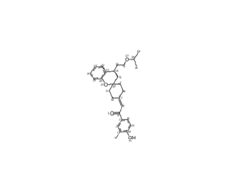 Cc1cc(C(=O)C=C2CCC3(CC2)CC(CCOC(C)C)c2ccccc2O3)ccc1O